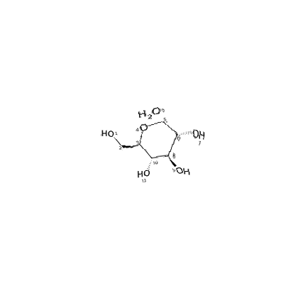 O.OC[C@H]1O[CH][C@H](O)[C@@H](O)[C@@H]1O